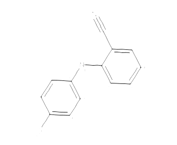 N#Cc1ccccc1Nc1ccc(O)cc1